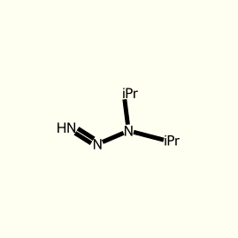 CC(C)N(N=N)C(C)C